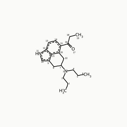 CCCN(CCC)C1Cc2c[nH]c3ccc(C(=O)CC)c(c23)C1